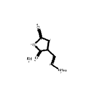 CCCCCCC=CC1CC(=O)OC1=O.[KH]